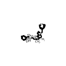 Cc1cc2c(c(C)c1CC(C)(C)CCNC(=O)c1ccccc1O)CCN2Cc1ccncc1